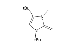 C=C1N(C)C(C(C)(C)C)=CN1C(C)(C)C